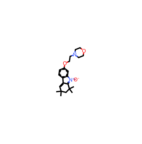 CC1(C)C=C2C(=[N+]([O-])c3cc(OCCN4CCOCC4)ccc32)C(C)(C)C1